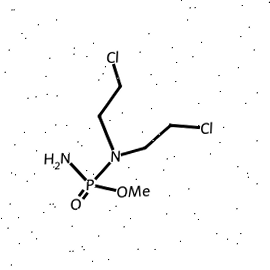 COP(N)(=O)N(CCCl)CCCl